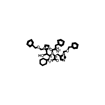 NC(=O)[C@H](Cc1cncn1COCc1ccccc1)N(C(=O)[C@@H](N)Cc1ccccc1)[C@@H](CC1CCCCC1)C(O)c1nccn1COCc1ccccc1